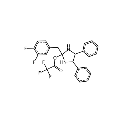 O=C(OC1(Cc2ccc(F)c(F)c2)NC(c2ccccc2)C(c2ccccc2)N1)C(F)(F)F